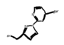 BrCc1ccn(-c2cc(Br)ccn2)n1